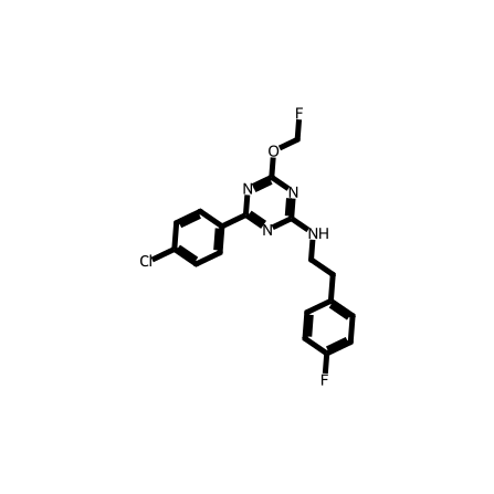 FCOc1nc(NCCc2ccc(F)cc2)nc(-c2ccc(Cl)cc2)n1